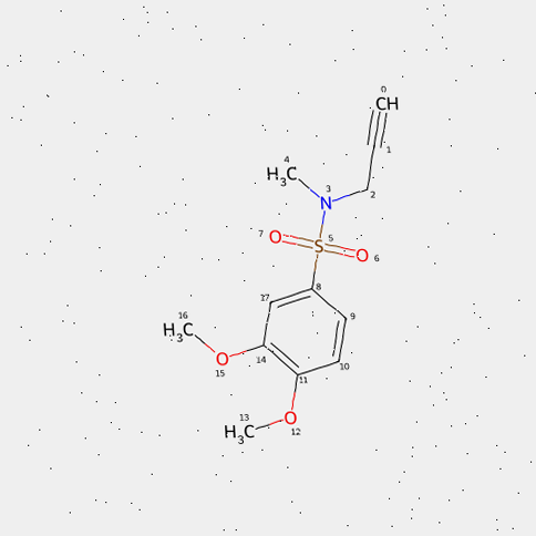 C#CCN(C)S(=O)(=O)c1ccc(OC)c(OC)c1